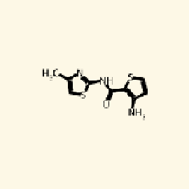 Cc1csc(NC(=O)c2sccc2N)n1